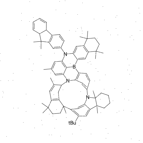 CC1=CC2=C3CC1N1c4cc(ccc4B4c5cc6c(cc5N(c5ccc7c(c5)C(C)(C)C5C=CC=CC75)c5cc(C)cc1c54)C(C)(C)CCC6(C)C)N1c4cc(c(C(C)(C)C)cc4C4(C)CCCCC14C)C3(C)CCC2(C)C